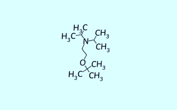 CC(C)N(CCOC(C)(C)C)C(C)C